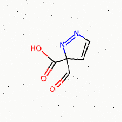 O=CC1(C(=O)O)C=CN=N1